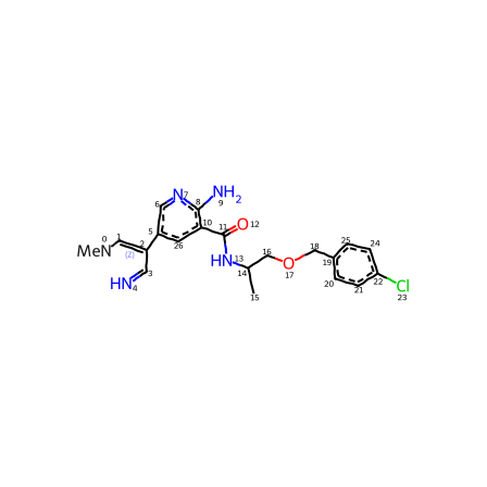 CN/C=C(\C=N)c1cnc(N)c(C(=O)NC(C)COCc2ccc(Cl)cc2)c1